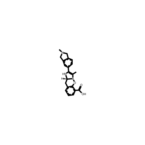 CC1=C(c2ccc3c(c2)CN(C)C3)N[C@H]2Cc3cccc(C(=O)O)c3OB12